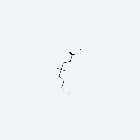 CCCCC(F)(F)C[C@H](N)C(=O)OC